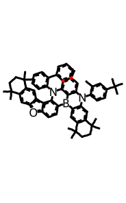 Cc1cc2c3c(c1)N(c1ccccc1-c1ccccc1)c1c(ccc4oc5cc6c(cc5c14)C(C)(C)CCC6(C)C)B3c1cc3c(cc1N2c1ccc(C(C)(C)C)cc1C)C(C)(C)CCC3(C)C